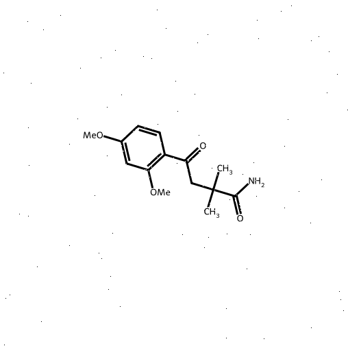 COc1ccc(C(=O)CC(C)(C)C(N)=O)c(OC)c1